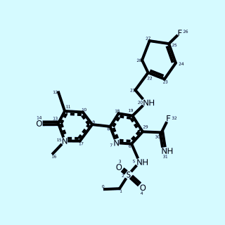 CCS(=O)(=O)Nc1nc(-c2cc(C)c(=O)n(C)c2)cc(NCC2=CC=C(F)CC2)c1C(=N)F